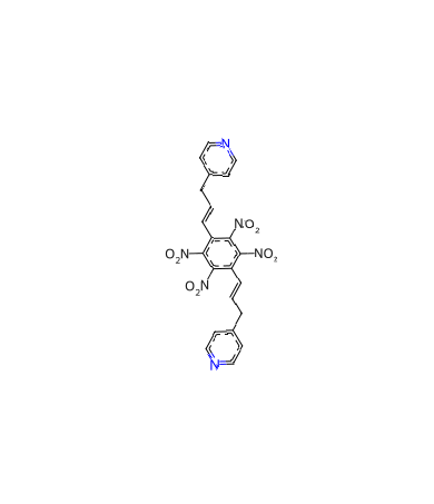 O=[N+]([O-])c1c(C=CCc2ccncc2)c([N+](=O)[O-])c([N+](=O)[O-])c(/C=C/Cc2ccncc2)c1[N+](=O)[O-]